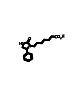 O=C(O)CCCCCCN1C(=O)NCC1c1ccccc1